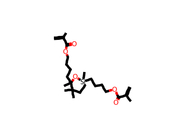 C=C(C)C(=O)OCCCCC1(C)O[Si](C)(CCCCOC(=O)C(=C)C)CCC1(C)C